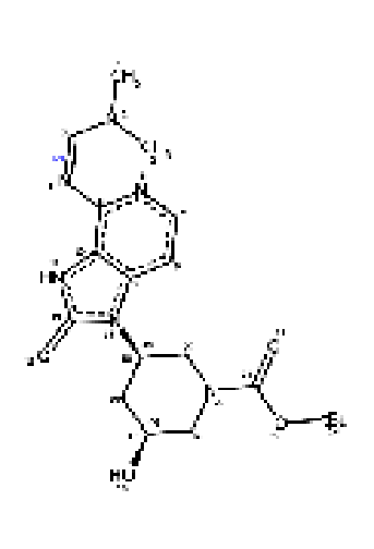 CN(C)/C=N\c1nccc2c1[nH]c(=O)n2[C@@H]1C[C@H](O)CN(C(=O)OC(C)(C)C)C1